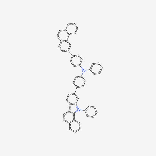 c1ccc(N(c2ccc(-c3ccc4ccc5ccccc5c4c3)cc2)c2ccc(-c3ccc4c5ccc6ccccc6c5n(-c5ccccc5)c4c3)cc2)cc1